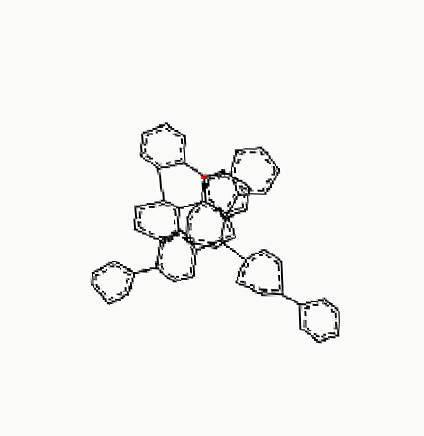 c1ccc(-c2ccc(N(c3ccc(-c4ccccc4)cc3)c3ccccc3-c3ccccc3-c3ccccc3-n3c4ccccc4c4ccccc43)cc2)cc1